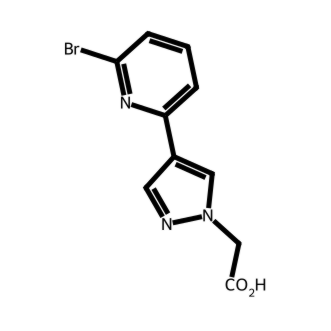 O=C(O)Cn1cc(-c2cccc(Br)n2)cn1